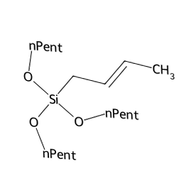 CC=CC[Si](OCCCCC)(OCCCCC)OCCCCC